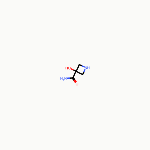 NC(=O)C1(O)CNC1